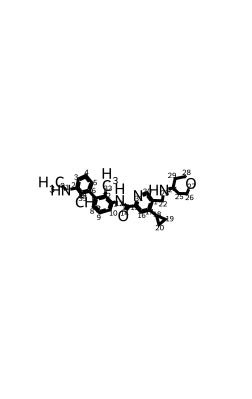 CNc1cccc(-c2cccc(NC(=O)c3cc(C4CC4)c(CNC4CCOCC4)cn3)c2C)c1C